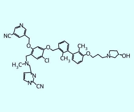 Cc1c(COc2cc(OCc3cncc(C#N)c3)c(CN(C)Cc3ccnc(C#N)n3)cc2Cl)cccc1-c1cccc(OCCCN2CC[C@@H](O)C2)c1C